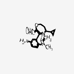 CN(C)c1ccc(N)cc1C1=C(C=O)OCCC(C2CC2)N1